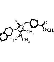 COC(=O)c1ccc(Cn2c(C)c(N(C)C)n(C3CCc4ccccc4C3)c2=S)cc1